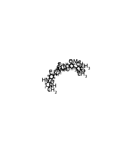 C=C1CCC(Nc2ccc(N3CCN(C4CCN(Cc5c(OC)cc(-c6cn(C)c(=O)c(C)c6C)cc5OC)CC4(F)F)CC3)c(F)c2)C(=O)N1